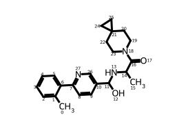 Cc1ccccc1-c1ccc(C(O)NC(C)C(=O)N2CCC3(CC2)CC3)cn1